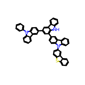 c1ccc(-n2c3ccccc3c3cc(-c4cc(-c5ccc6c(c5)c5ccccc5n6-c5ccc6sc7ccccc7c6c5)c5[nH]c6ccccc6c5c4)ccc32)cc1